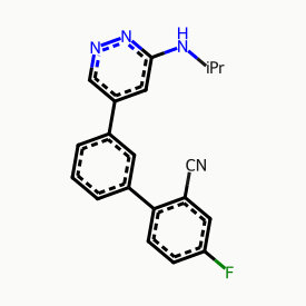 CC(C)Nc1cc(-c2cccc(-c3ccc(F)cc3C#N)c2)cnn1